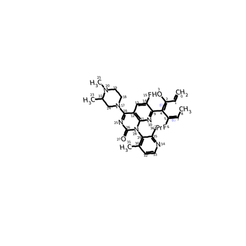 C=C/C(O)=C(\C(F)=C/C)c1nc2c(cc1F)c(N1CCN(C)C(C)C1)nc(=O)n2-c1c(C)ccnc1C(C)C